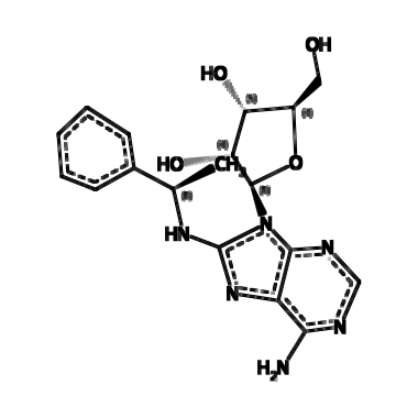 C[C@@H](Nc1nc2c(N)ncnc2n1[C@@H]1O[C@H](CO)[C@@H](O)[C@H]1O)c1ccccc1